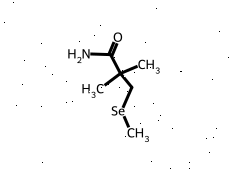 C[Se]CC(C)(C)C(N)=O